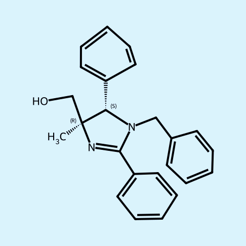 C[C@@]1(CO)N=C(c2ccccc2)N(Cc2ccccc2)[C@H]1c1ccccc1